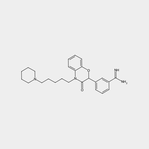 N=C(N)c1cccc(C2Oc3ccccc3N(CCCCCN3CCCCC3)C2=O)c1